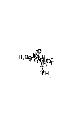 COCC[C@@H]1C[C@@H](NC(=O)Nc2c(C)c(-c3cnn(C)c3)nn2-c2ccccn2)[C@H](c2ccc(F)c(F)c2)O1